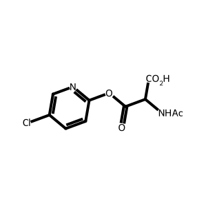 CC(=O)NC(C(=O)O)C(=O)Oc1ccc(Cl)cn1